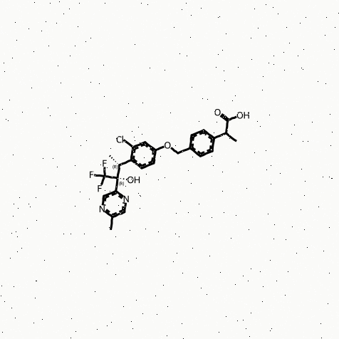 Cc1cnc([C@](O)([C@H](C)c2ccc(OCc3ccc(C(C)C(=O)O)cc3)cc2Cl)C(F)(F)F)cn1